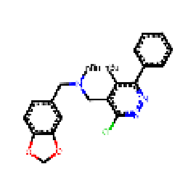 CCCCc1c(-c2ccccc2)nnc(Cl)c1CN(CCCC)Cc1ccc2c(c1)OCO2